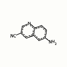 N#Cc1cnc2ccc(N)cc2c1